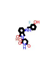 O=C1CCC(O)(N2Cc3c(NCc4cccc(O)c4F)cccc3C2=O)C(=O)N1